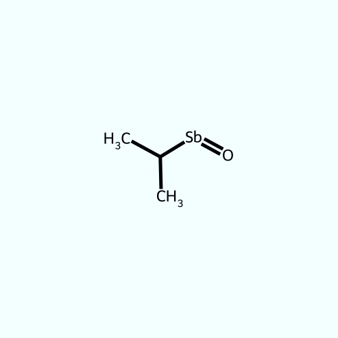 C[CH](C)[Sb]=[O]